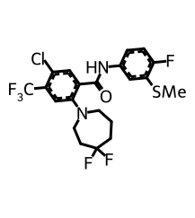 CSc1cc(NC(=O)c2cc(Cl)c(C(F)(F)F)cc2N2CCCC(F)(F)CC2)ccc1F